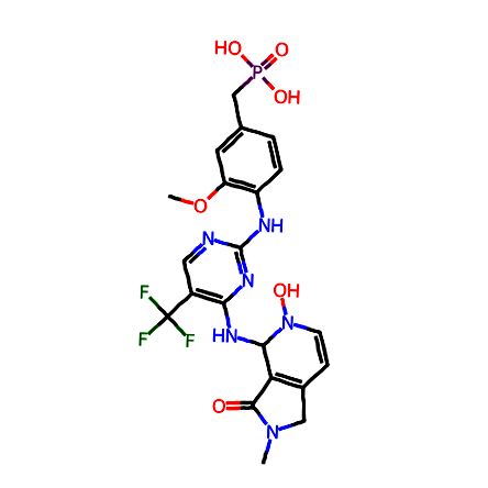 COc1cc(CP(=O)(O)O)ccc1Nc1ncc(C(F)(F)F)c(NC2C3=C(C=CN2O)CN(C)C3=O)n1